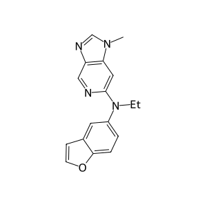 CCN(c1ccc2occc2c1)c1cc2c(cn1)ncn2C